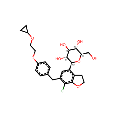 OC[C@H]1O[C@@H](c2cc(Cc3ccc(OCCOC4CC4)cc3)c(Cl)c3c2CCO3)[C@H](O)[C@@H](O)[C@@H]1O